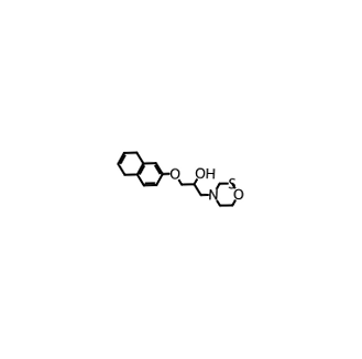 OC(COc1ccc2c(c1)CC=CC2)CN1CCOSC1